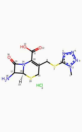 Cl.Cn1nnnc1SCC1=C(C(=O)O)N2C(=O)C(N)[C@@H]2SC1